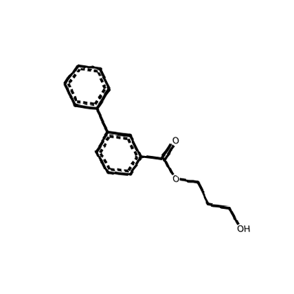 O=C(OCCCO)c1cccc(-c2ccccc2)c1